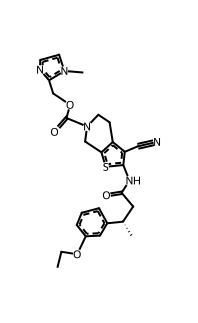 CCOc1cccc([C@@H](C)CC(=O)Nc2sc3c(c2C#N)CCN(C(=O)OCc2nccn2C)C3)c1